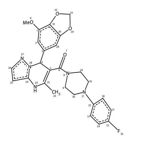 COc1cc(C2C(C(=O)N3CCN(c4ccc(F)cc4)CC3)=C(C)Nc3ccnn32)cc2c1OCO2